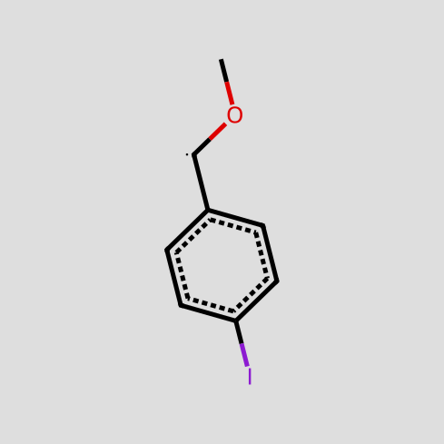 CO[CH]c1ccc(I)cc1